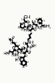 CC[C@H](NC(=O)[C@H](CCCCNC(=O)[C@H](CS)NC(=O)[C@H](Cc1c[nH]c2ccccc12)NC(=O)[C@H](CCCCN(C)C)NC(=O)[C@@H](N)CS)NC(=O)[C@@H]1CCCN1C(=O)CO)C(=O)N1CCC[C@H]1C(N)=O